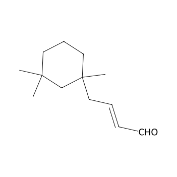 CC1(C)CCCC(C)(CC=CC=O)C1